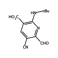 CCCCNc1nc(C=O)c(C#N)cc1C(=O)O